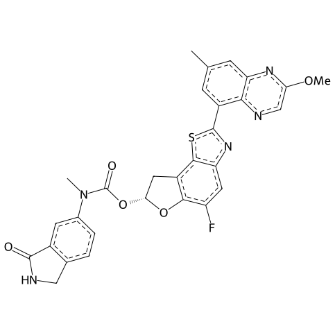 COc1cnc2c(-c3nc4cc(F)c5c(c4s3)C[C@@H](OC(=O)N(C)c3ccc4c(c3)C(=O)NC4)O5)cc(C)cc2n1